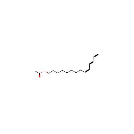 C=C/C=C/C=C\CCCCCCCCOC(C)=O